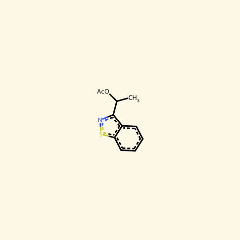 CC(=O)OC(C)c1nsc2ccccc12